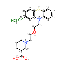 Cl.O=C(O)[C@@H]1CCCN(CCOCCN2c3ccccc3Sc3ccc(Cl)cc32)C1